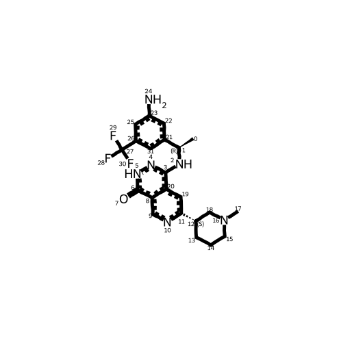 C[C@@H](Nc1n[nH]c(=O)c2cnc([C@H]3CCCN(C)C3)cc12)c1cc(N)cc(C(F)(F)F)c1